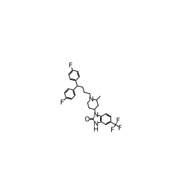 CC1CC(n2c(=O)[nH]c3cc(C(F)(F)F)ccc32)CCN1CCCC(c1ccc(F)cc1)c1ccc(F)cc1